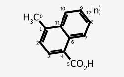 Cc1ccc(C(=O)O)c2ccccc12.[In]